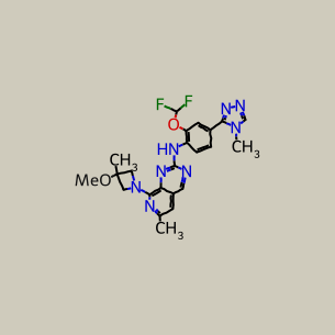 COC1(C)CN(c2nc(C)cc3cnc(Nc4ccc(-c5nncn5C)cc4OC(F)F)nc23)C1